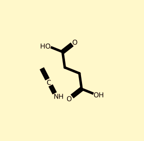 C=C=N.O=C(O)CCC(=O)O